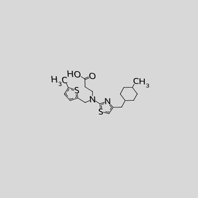 Cc1ccc(CN(CCC(=O)O)c2nc(CC3CCC(C)CC3)cs2)s1